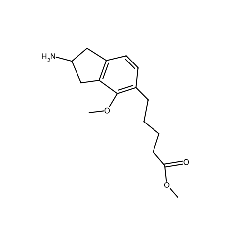 COC(=O)CCCCc1ccc2c(c1OC)CC(N)C2